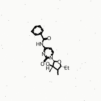 CC[C@H]1O[C@@H](n2ccc(NC(=O)c3ccccc3)nc2=O)[C@@](C)(O)C1C